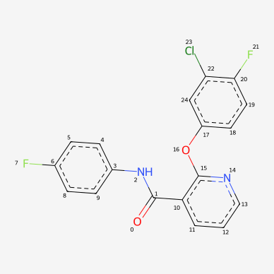 O=C(Nc1ccc(F)cc1)c1cccnc1Oc1ccc(F)c(Cl)c1